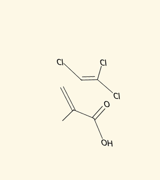 C=C(C)C(=O)O.ClC=C(Cl)Cl